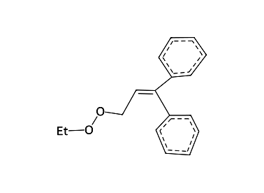 CCOOCC=C(c1ccccc1)c1ccccc1